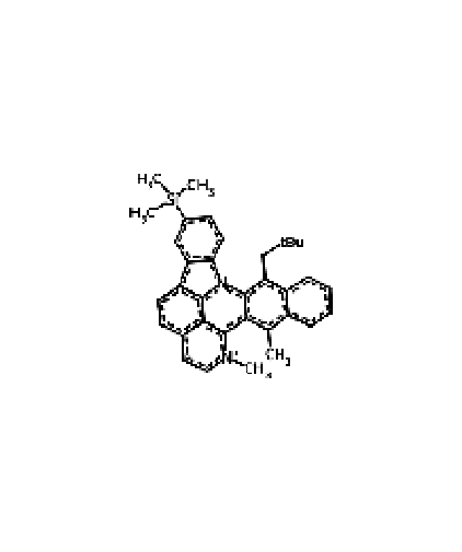 Cc1c2ccccc2c(CC(C)(C)C)c2c1c1c3c(ccc4c5cc([Si](C)(C)C)ccc5n2c43)cc[n+]1C